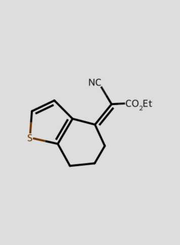 CCOC(=O)C(C#N)=C1CCCc2sccc21